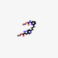 CN(C(=O)OC(C)(C)C)c1cccc(CCCc2ccc(C[C@H](N)C(=O)OC(C)(C)C)cn2)n1